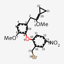 COC(Cc1ccc(OC)c(Oc2ccc([N+](=O)[O-])cc2CBr)c1)=C1CC1